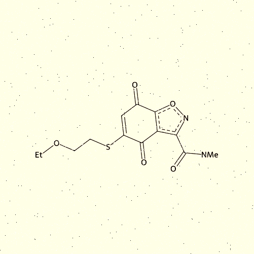 CCOCCSC1=CC(=O)c2onc(C(=O)NC)c2C1=O